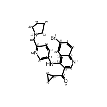 O=C(c1cnc2ccc(Br)cc2c1Nc1ccc(CN2CCCC2)nc1)C1CC1